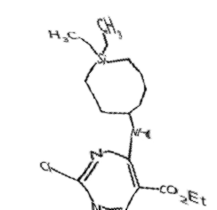 CCOC(=O)c1cnc(Cl)nc1NC1CC[Si](C)(C)CC1